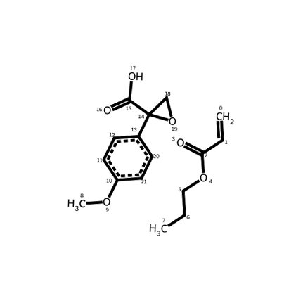 C=CC(=O)OCCC.COc1ccc(C2(C(=O)O)CO2)cc1